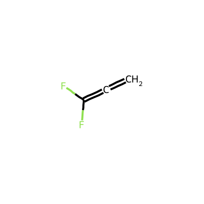 C=C=C(F)F